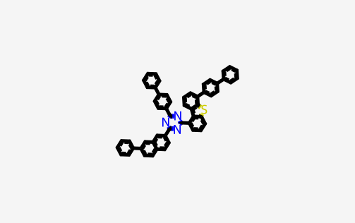 c1ccc(-c2ccc(-c3nc(-c4ccc5ccc(-c6ccccc6)cc5c4)nc(-c4cccc5sc6c(-c7ccc(-c8ccccc8)cc7)cccc6c45)n3)cc2)cc1